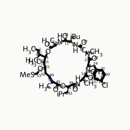 C/C=C(\C)C1OC(=O)[C@@H](C)NC(=O)[C@H]([C@H](C)CC)NC(=O)CN(C)C(=O)[C@@H](Cc2ccc(Cl)cc2)N(C)C(=O)[C@H](C)NC(=O)[C@@H](CC(C)C)OC(=O)/C(C)=C/C[C@H](OCSC)[C@@H]1C